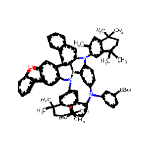 Cc1cc2c(cc1N1c3ccc(N(c4ccc(C(C)(C)C)cc4)c4cccc(C(C)(C)C)c4)cc3B3c4c1cc1ccccc1c4-c1cc4oc5ccccc5c4cc1N3c1ccc3c(c1)C(C)(C)CCC3(C)C)C(C)(C)CCC2(C)C